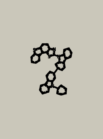 c1ccc(-n2c3ccccc3c3ccc(-c4ccc5c6ccccc6n(-c6nc7ccc8sc9ccccc9c8c7s6)c5c4)cc32)cc1